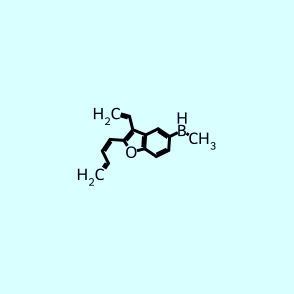 C=C/C=C\c1oc2ccc(BC)cc2c1C=C